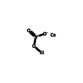 CCO[N+](=O)[O-].[Ce]